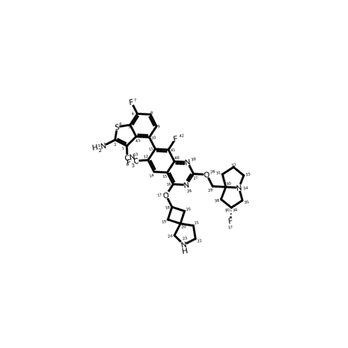 N#Cc1c(N)sc2c(F)ccc(-c3c(C(F)(F)F)cc4c(OC5CC6(CCNC6)C5)nc(OCC56CCCN5C[C@H](F)C6)nc4c3F)c12